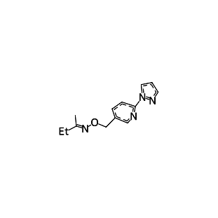 CCC(C)=NOCc1ccc(-n2cccn2)nc1